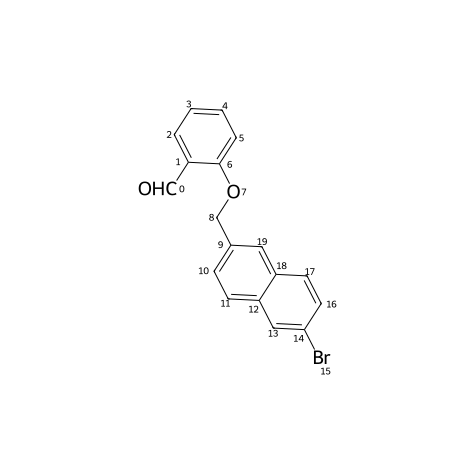 O=Cc1ccccc1OCc1ccc2cc(Br)ccc2c1